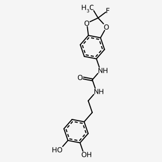 CC1(F)Oc2ccc(NC(=O)NCCc3ccc(O)c(O)c3)cc2O1